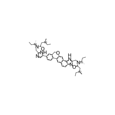 CC[C@H](C)CC(=O)N(Cc1ncc(-c2ccc3c(c2)COc2cc4c(ccc5nc(CN(C(=O)C[C@@H](C)CC)[C@@H](C)CC)[nH]c54)cc2-3)[nH]1)[C@@H](C)CC